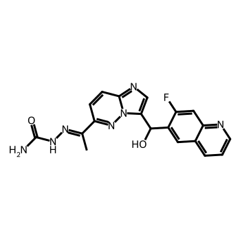 C/C(=N\NC(N)=O)c1ccc2ncc(C(O)c3cc4cccnc4cc3F)n2n1